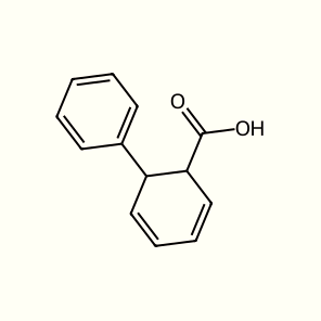 O=C(O)C1C=CC=CC1c1ccccc1